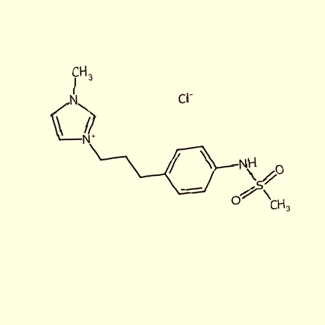 Cn1cc[n+](CCCc2ccc(NS(C)(=O)=O)cc2)c1.[Cl-]